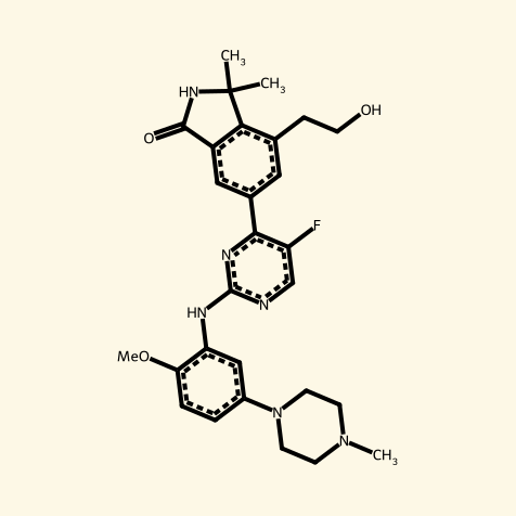 COc1ccc(N2CCN(C)CC2)cc1Nc1ncc(F)c(-c2cc(CCO)c3c(c2)C(=O)NC3(C)C)n1